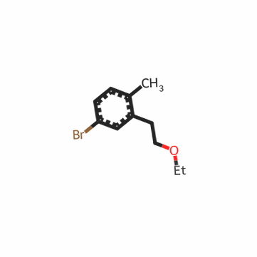 CCOCCc1cc(Br)ccc1C